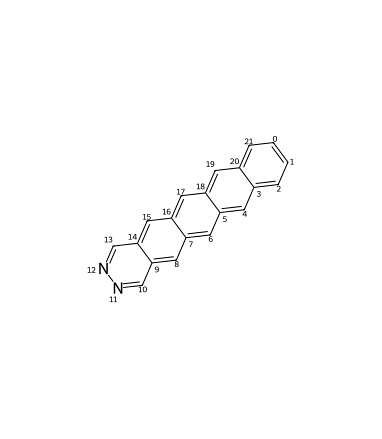 c1ccc2cc3cc4cc5cnncc5cc4cc3cc2c1